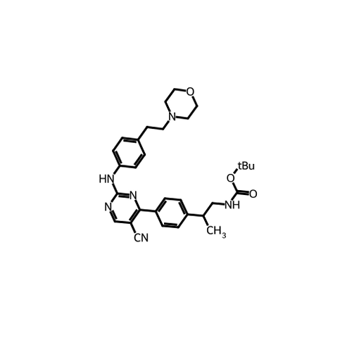 CC(CNC(=O)OC(C)(C)C)c1ccc(-c2nc(Nc3ccc(CCN4CCOCC4)cc3)ncc2C#N)cc1